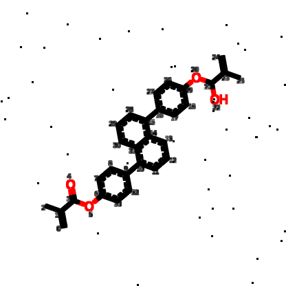 C=C(C)C(=O)Oc1ccc(-c2cccc3c(-c4ccc(OC(O)C(=C)C)cc4)cccc23)cc1